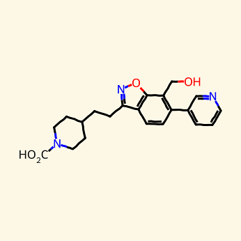 O=C(O)N1CCC(CCc2noc3c(CO)c(-c4cccnc4)ccc23)CC1